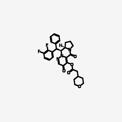 O=C(CC1CCOCC1)Oc1c2n(ncc1=O)[C@@H](C(c1ccccc1)c1cccc(F)c1F)[C@H]1CCCN1C2=O